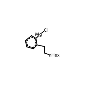 CCCCCCCCc1cccc[c]1[Mg][Cl]